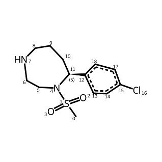 CS(=O)(=O)N1CCNCCC[C@H]1c1ccc(Cl)cc1